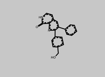 O=c1[nH]ccc2cc(-c3ccccc3)c(-c3ccc(CO)cc3)nc12